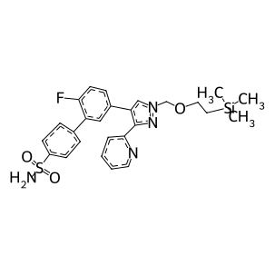 C[Si](C)(C)CCOCn1cc(-c2ccc(F)c(-c3ccc(S(N)(=O)=O)cc3)c2)c(-c2ccccn2)n1